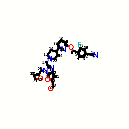 N#Cc1ccc(COc2cccc(C3CCN(Cc4nc5cc(C=O)oc5n4CC4CCO4)CC3)n2)c(F)c1